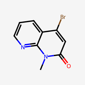 Cn1c(=O)cc(Br)c2cccnc21